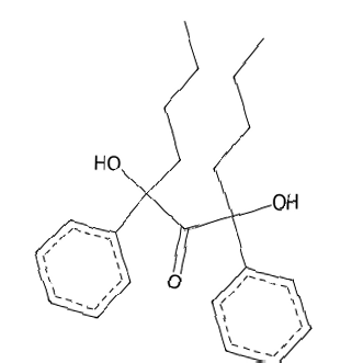 CCCCC(O)(C(=O)C(O)(CCCC)c1ccccc1)c1ccccc1